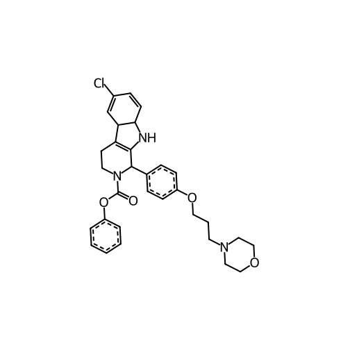 O=C(Oc1ccccc1)N1CCC2=C(NC3C=CC(Cl)=CC23)C1c1ccc(OCCCN2CCOCC2)cc1